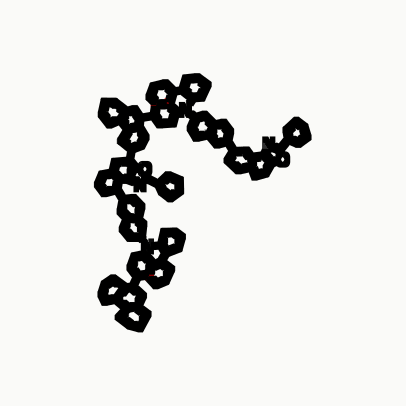 c1ccc(-c2nc3c(ccc4ccc(-c5ccc6cc(N(c7ccc(-c8cc9ccccc9c9cc(-c%10cc%11cccc(-c%12ccc%13cc(N(c%14ccc(-c%15cc%16ccccc%16c%16ccccc%15%16)cc%14)c%14ccccc%14-c%14ccccc%14)ccc%13c%12)c%11c%11nc(-c%12ccccc%12)oc%10%11)ccc89)cc7)c7ccccc7-c7ccccc7)ccc6c5)cc43)o2)cc1